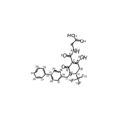 O=C(O)CNC(=O)C1=C(O)CC(C(F)(F)F)N(Cc2ccc(-c3ccccc3)cc2)C1=O